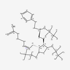 CC(C)(C)[Si](C)(C)OC1CC(O[Si](C)(C)C(C)(C)C)[C@H](CC[C@@H](CCc2ccccc2)O[Si](C)(C)C(C)(C)C)[C@H]1C/C=C\CCCC(=O)O